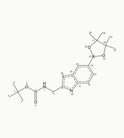 CC(C)(C)OC(=O)NCc1nc2ccc(B3OC(C)(C)C(C)(C)O3)cc2s1